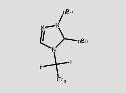 CCCCC1N(CCCC)N=CN1C(F)(F)C(F)(F)F